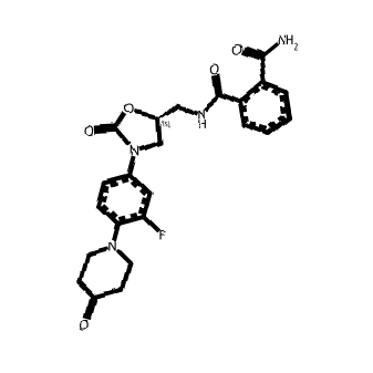 NC(=O)c1ccccc1C(=O)NC[C@H]1CN(c2ccc(N3CCC(=O)CC3)c(F)c2)C(=O)O1